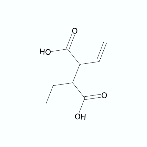 C=CC(C(=O)O)C(CC)C(=O)O